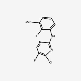 CSc1cccc(Nc2ncc(F)c(Cl)n2)c1F